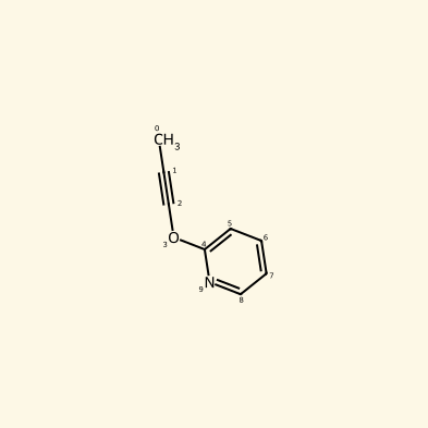 CC#COc1ccccn1